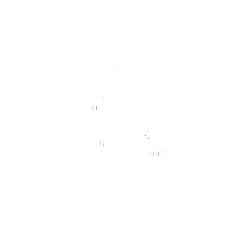 CC(=O)Nc1cc(-c2sc(C3CCOCC3)nc2-c2cccc(NS(=O)(=O)c3cc(F)ccc3F)c2F)ccn1